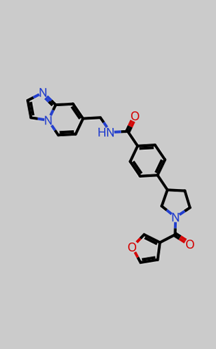 O=C(NCc1ccn2ccnc2c1)c1ccc(C2CCN(C(=O)c3ccoc3)C2)cc1